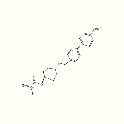 CCCCCc1ccc(-c2ccc(CC[C@H]3CC[C@H](OC(=O)[C@@H](F)CCCC)CC3)cc2)cc1